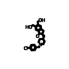 O=C1C(=CC2CCN(Cc3ccc(Cl)cc3)CC2)Cc2cc(CO)c(CO)cc21